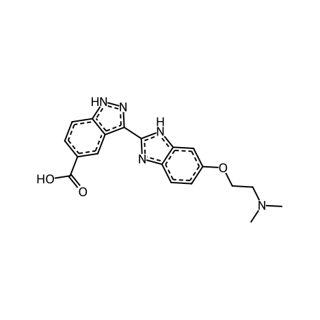 CN(C)CCOc1ccc2nc(-c3n[nH]c4ccc(C(=O)O)cc34)[nH]c2c1